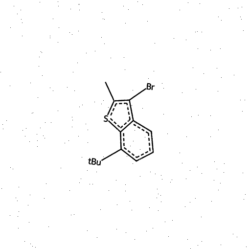 Cc1sc2c(C(C)(C)C)cccc2c1Br